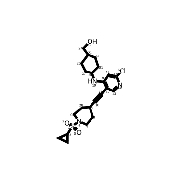 O=S(=O)(C1CC1)N1CCC(C#Cc2cnc(Cl)cc2NC2CCC(CO)CC2)CC1